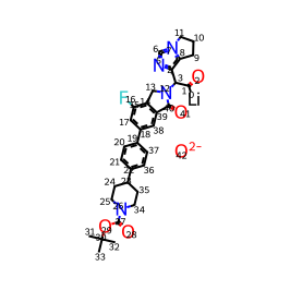 [Li][C](=O)C(c1ncn2c1CCC2)N1Cc2c(F)cc(-c3ccc(C4CCN(C(=O)OC(C)(C)C)CC4)cc3)cc2C1=O.[O-2]